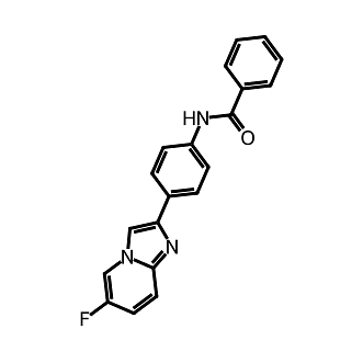 O=C(Nc1ccc(-c2cn3cc(F)ccc3n2)cc1)c1ccccc1